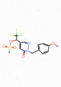 COc1ccc(Cn2ncc(C(OS(C)(=O)=O)C(F)(F)F)cc2=O)cc1